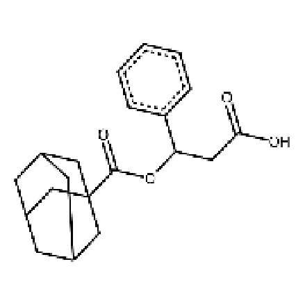 O=C(O)CC(OC(=O)C12CC3CC(CC(C3)C1)C2)c1ccccc1